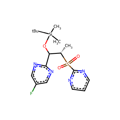 C[C@@H](C(O[Si](C)(C)C(C)(C)C)c1ncc(F)cn1)S(=O)(=O)c1ncccn1